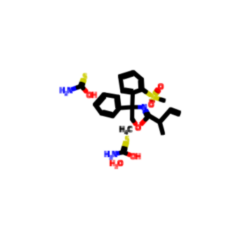 C.C=CC(C)C1=NC(c2ccccc2)(c2ccccc2S(C)(=O)=O)CO1.NC(O)=S.NC(O)=S.O